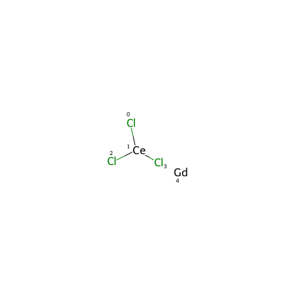 [Cl][Ce]([Cl])[Cl].[Gd]